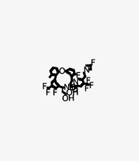 Cc1cccc2c1-c1cc(C(F)F)c(F)c(c1)[C@H](CC(O)O)NC(=O)[C@@H](n1cc(CCN3CC(F)C3)c(C(F)(F)F)cc1=O)c1cc(ccc1F)O2